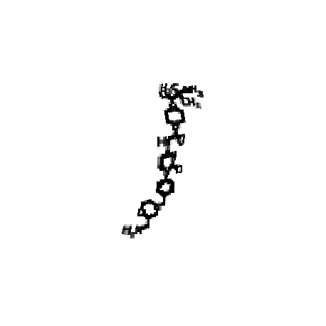 CC(C)(N)C(=O)N1CCN(C(=O)Nc2ccn(-c3ccc(CN4CCOC(CN)C4)cc3)c(=O)n2)CC1